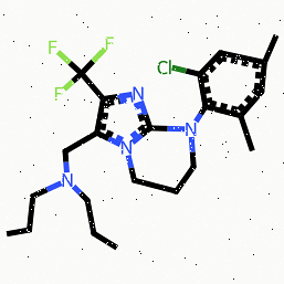 CCCN(CCC)Cc1c(C(F)(F)F)nc2n1CCCN2c1c(C)cc(C)cc1Cl